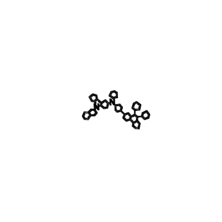 c1ccc(-c2c(-c3ccccc3)c3cc(-c4ccc(N(c5ccccc5)c5ccc6c(c5)c5ccccc5n6-c5ccc6ccccc6c5)cc4)ccc3c3ccccc23)cc1